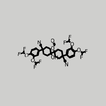 N#CC1(c2ccc(OC(F)F)c(OC(F)F)c2)CCC(O)(C2(OC=O)CCC(C#N)(c3ccc(OC(F)F)c(OC(F)F)c3)CC2)CC1